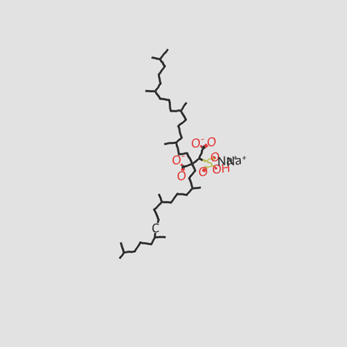 CC(C)CCCC(C)CCCC(C)CCCC(C)CCC(CCC(C)CCCC(C)CCCC(C)CCCC(C)C)(C(=O)[O-])C(C(=O)[O-])S(=O)(=O)O.[Na+].[Na+]